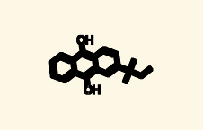 CCC(C)(C)c1ccc2c(O)c3ccccc3c(O)c2c1